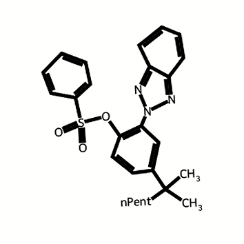 CCCCCC(C)(C)c1ccc(OS(=O)(=O)c2ccccc2)c(-n2nc3ccccc3n2)c1